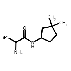 CC(C)C(N)C(=O)NC1CCC(C)(C)C1